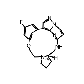 Fc1cc2cc(c1)-c1cnn3ccc(nc13)NC[C@@H]1CCCN1CCO2